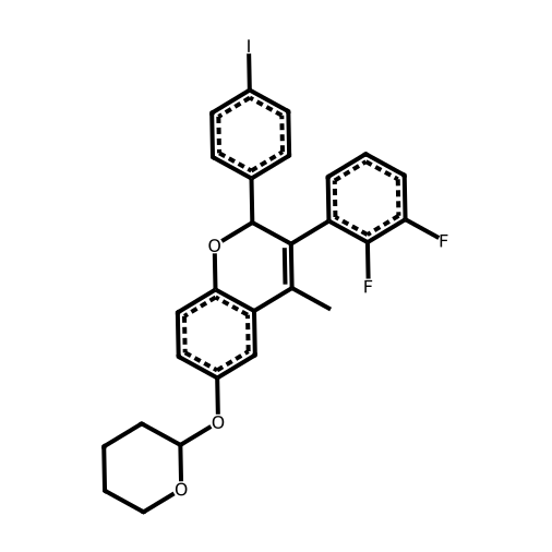 CC1=C(c2cccc(F)c2F)C(c2ccc(I)cc2)Oc2ccc(OC3CCCCO3)cc21